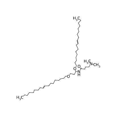 CCCCCCCCC=CCCCCCCCCOCCC(NC(=O)CCCN(C)C)OCCCCCCCCC=CCCCCCCCC